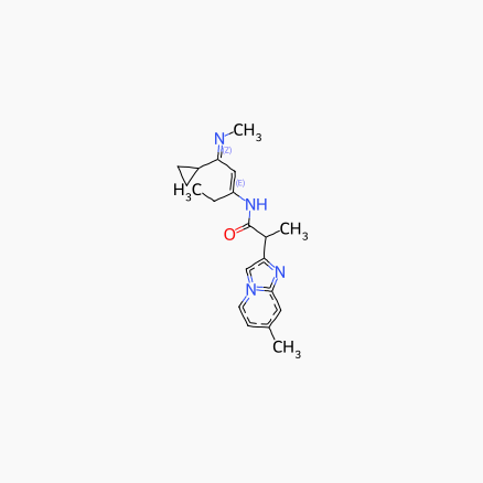 CC/C(=C\C(=N/C)C1CC1)NC(=O)C(C)c1cn2ccc(C)cc2n1